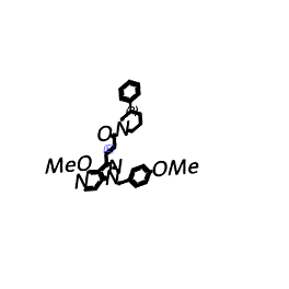 COc1ccc(Cn2nc(/C=C/C(=O)N3CCC[C@H](c4ccccc4)C3)c3c(OC)nccc32)cc1